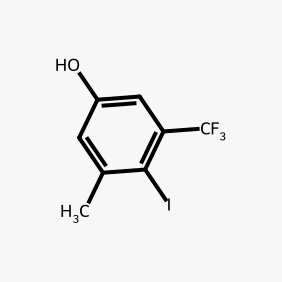 Cc1cc(O)cc(C(F)(F)F)c1I